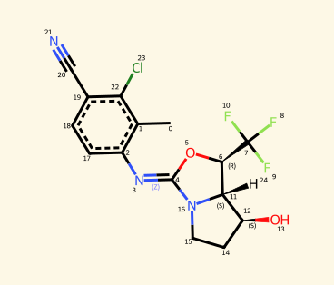 Cc1c(/N=C2\O[C@@H](C(F)(F)F)[C@@H]3[C@@H](O)CCN23)ccc(C#N)c1Cl